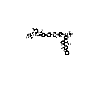 [2H]C([2H])([2H])Oc1ncc(-c2ccnc(N3CCc4c(sc5c4CCCC5)C3=O)c2[C@@H](C)O)cc1Nc1ccc(N2CCN(C3CCN(c4ccc5c(c4)C(=O)N([C@H]4CCC(=O)N(COP(=O)(O)O)C4=O)C5=O)CC3)C[C@@H]2C)cn1